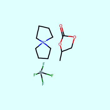 C1CC[N+]2(C1)CCCC2.CC1COC(=O)O1.F[B-](F)(F)F